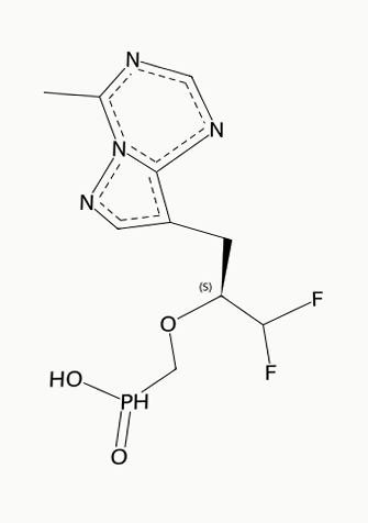 Cc1ncnc2c(C[C@H](OC[PH](=O)O)C(F)F)cnn12